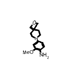 COc1cc(N2CCC3(CC2)COC3)ccc1N